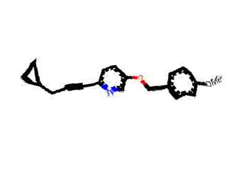 COc1ccc(COc2ccc(C#CCC3CC3)nc2)cc1